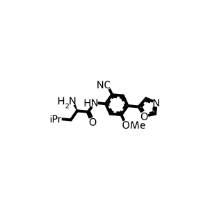 COc1cc(NC(=O)[C@H](N)CC(C)C)c(C#N)cc1-c1cnco1